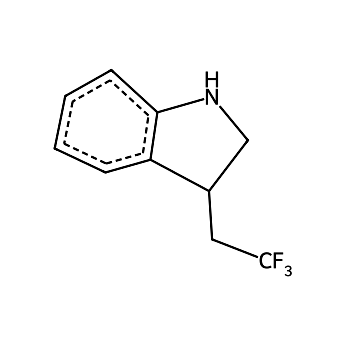 FC(F)(F)CC1CNc2ccccc21